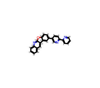 c1ccc(-c2ccc(-c3ccc4oc5nc6ccccc6cc5c4c3)cn2)nc1